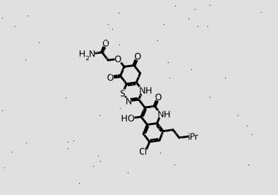 CC(C)CCc1cc(Cl)cc2c(O)c(C3=NSC4=C(CC(=O)C(OCC(N)=O)C4=O)N3)c(=O)[nH]c12